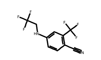 N#Cc1ccc(NCC(F)(F)F)cc1C(F)(F)F